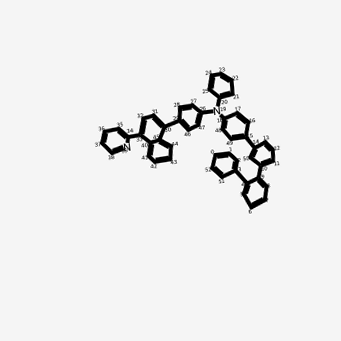 c1ccc(-c2ccccc2-c2cccc(-c3ccc(N(c4ccccc4)c4ccc(-c5ccc(-c6ccccn6)c6ccccc56)cc4)cc3)c2)cc1